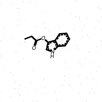 CCC(=O)Oc1c[nH]c2ccccc12